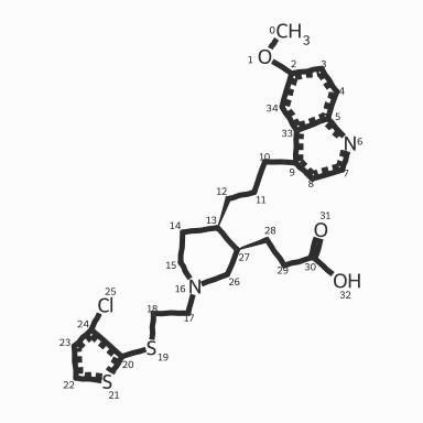 COc1ccc2nccc(CCC[C@@H]3CCN(CCSc4sccc4Cl)C[C@@H]3CCC(=O)O)c2c1